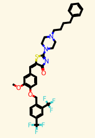 COc1cc(C=C2SC(N3CCN(CCCCc4ccccc4)CC3)=NC2=O)ccc1OCc1ccc(C(F)(F)F)cc1C(F)(F)F